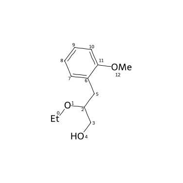 CCOC(CO)Cc1ccccc1OC